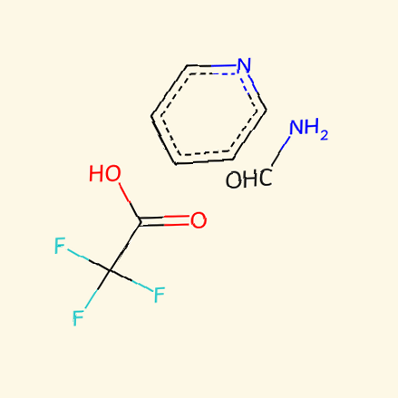 NC=O.O=C(O)C(F)(F)F.c1ccncc1